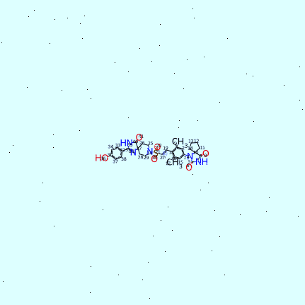 Cc1cc(N2C(=O)NC(=O)C23CCCC3)cc(C)c1/C=C/S(=O)(=O)N1CCC2(CC1)N=C(c1ccc(O)cc1)NC2=O